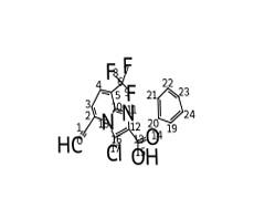 C#Cc1ccc(C(F)(F)F)c2nc(C(=O)O)c(Cl)n12.c1ccccc1